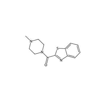 CN1CCN(C(=O)c2nc3ccccc3s2)CC1